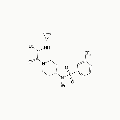 CCC(NC1CC1)C(=O)N1CCC(N(C(C)C)S(=O)(=O)c2cccc(C(F)(F)F)c2)CC1